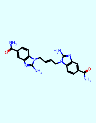 NC(=O)c1ccc2c(c1)nc(N)n2C/C=C/Cn1c(N)nc2cc(C(N)=O)ccc21